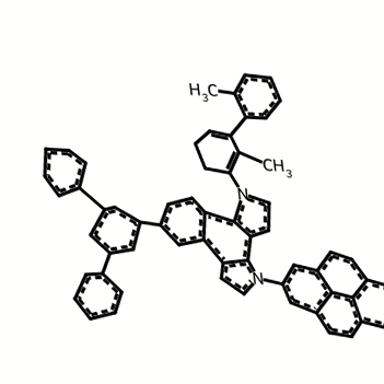 CC1=C(n2ccc3c2c2ccc(-c4cc(-c5ccccc5)cc(-c5ccccc5)c4)cc2c2ccn(-c4cc5ccc6cccc7ccc(c4)c5c67)c23)CCC=C1c1ccccc1C